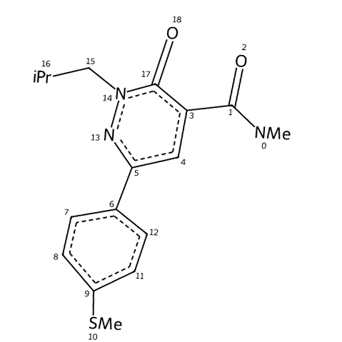 CNC(=O)c1cc(-c2ccc(SC)cc2)nn(CC(C)C)c1=O